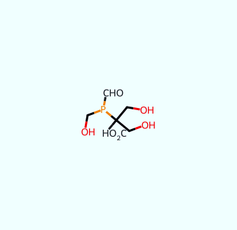 O=CP(CO)C(CO)(CO)C(=O)O